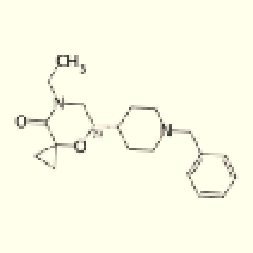 CCN1C[C@H](C2CCN(Cc3ccccc3)CC2)OC2(CC2)C1=O